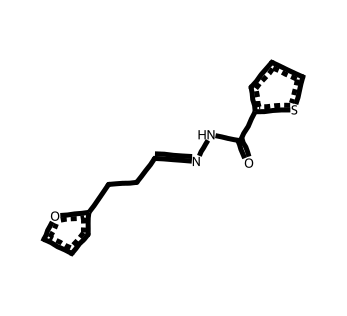 O=C(N/N=C/CCc1ccco1)c1cccs1